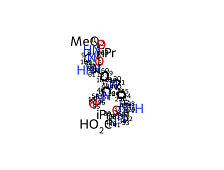 COC(=O)N[C@H](C(=O)N1CCC[C@H]1c1nc(-c2ccc(-c3ccc(-c4ccc(-c5c[nH]c([C@@H]6CCCN6C(=O)[C@H](C(C)C)N(C)C(=O)O)n5)cc4)n3-c3ccc(N4CCOCC4)nc3)cc2)c[nH]1)C(C)C